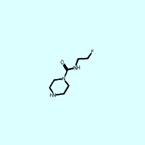 O=C(NCCF)N1CCNCC1